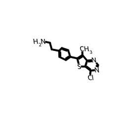 Cc1c(-c2ccc(CCN)cc2)sc2c(Cl)ncnc12